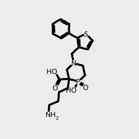 NCCCCC1(C(=O)O)CN(Cc2ccsc2-c2ccccc2)CCP1(=O)O